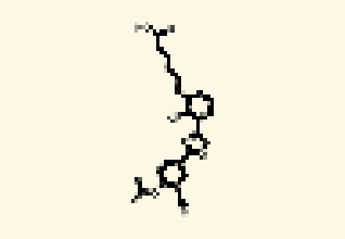 CC(C)Oc1ccc(-c2nc(-c3cccc(CCCCCC(=O)O)c3Cl)no2)cc1C#N